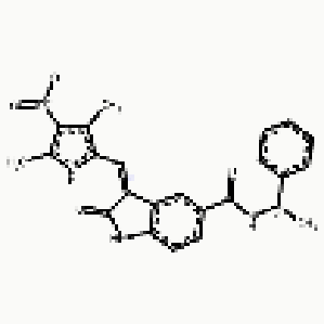 Cc1[nH]c(/C=C2\C(=O)Nc3ccc(C(=O)N[C@H](C)c4ccccc4)cc32)c(C)c1[N+](=O)[O-]